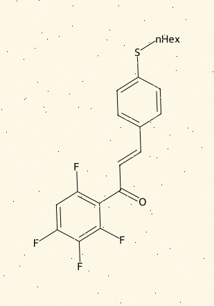 CCCCCCSc1ccc(C=CC(=O)c2c(F)cc(F)c(F)c2F)cc1